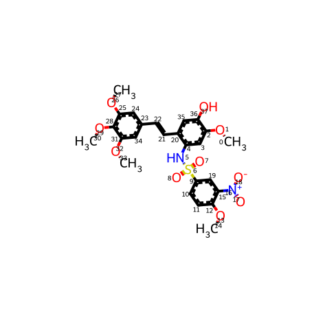 COc1cc(NS(=O)(=O)c2ccc(OC)c([N+](=O)[O-])c2)c(C=Cc2cc(OC)c(OC)c(OC)c2)cc1O